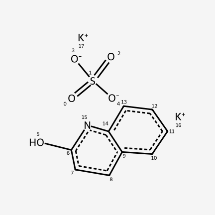 O=S(=O)([O-])[O-].Oc1ccc2ccccc2n1.[K+].[K+]